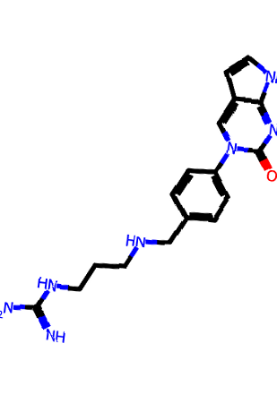 N=C(N)NCCCNCc1ccc(-n2cc3cc[nH]c3nc2=O)cc1